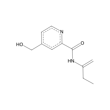 C=C(CC)NC(=O)c1cc(CO)ccn1